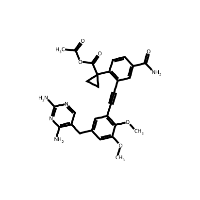 COc1cc(Cc2cnc(N)nc2N)cc(C#Cc2cc(C(N)=O)ccc2C2(C(=O)OC(C)=O)CC2)c1OC